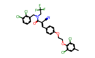 Cc1cc(Cl)c(OCCOc2ccc(/C=C(\C#N)C(=O)N(Cc3cccc(Cl)c3Cl)CC(F)(F)F)cc2)c(Cl)c1